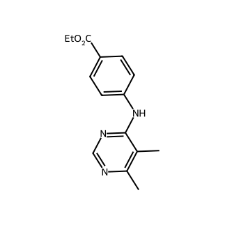 CCOC(=O)c1ccc(Nc2ncnc(C)c2C)cc1